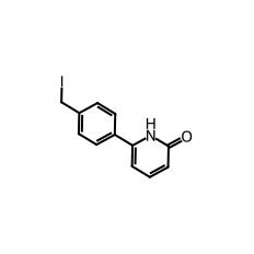 O=c1cccc(-c2ccc(CI)cc2)[nH]1